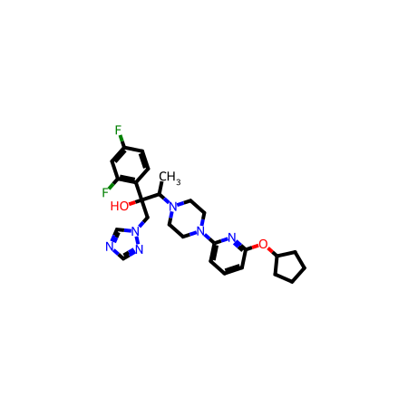 CC(N1CCN(c2cccc(OC3CCCC3)n2)CC1)C(O)(Cn1cncn1)c1ccc(F)cc1F